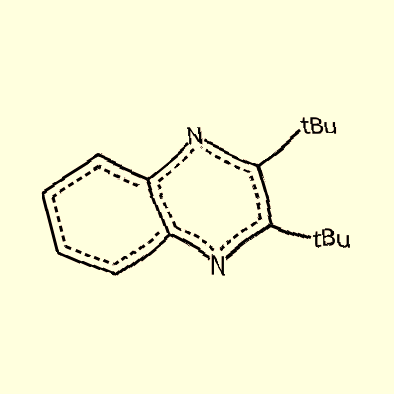 CC(C)(C)c1nc2ccccc2nc1C(C)(C)C